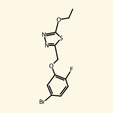 CCOc1nnc(COc2cc(Br)ccc2F)s1